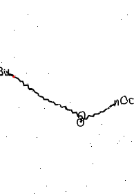 CCCCCCCCC=CCCCCCCCCCC(=O)OCCCCCCCCCCCCCCCCCCCCCCCCCCCC(C)CC